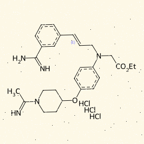 CCOC(=O)CN(C/C=C/c1cccc(C(=N)N)c1)c1ccc(OC2CCN(C(C)=N)CC2)cc1.Cl.Cl.Cl